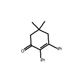 CC(C)C1=C(C(C)C)C(=O)CC(C)(C)C1